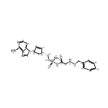 Nc1ncnc2c1ncn2[C@@H]1C=C[C@H](COP(N)(=O)OC(=O)CNOCc2ccccc2)C1